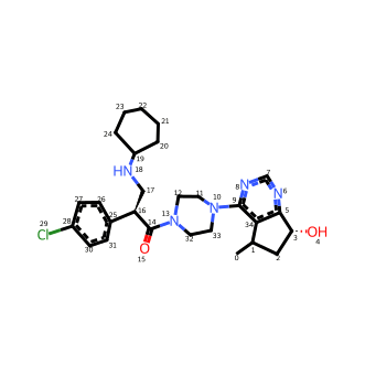 CC1C[C@@H](O)c2ncnc(N3CCN(C(=O)[C@H](CNC4CCCCC4)c4ccc(Cl)cc4)CC3)c21